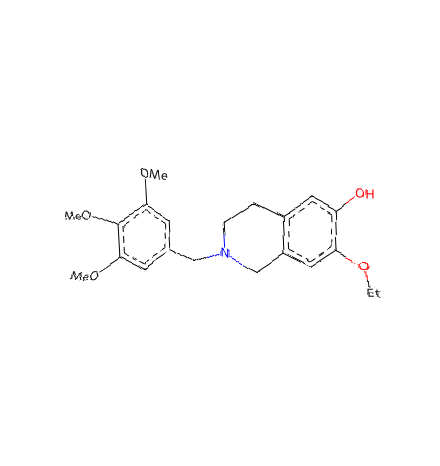 CCOc1cc2c(cc1O)CCN(Cc1cc(OC)c(OC)c(OC)c1)C2